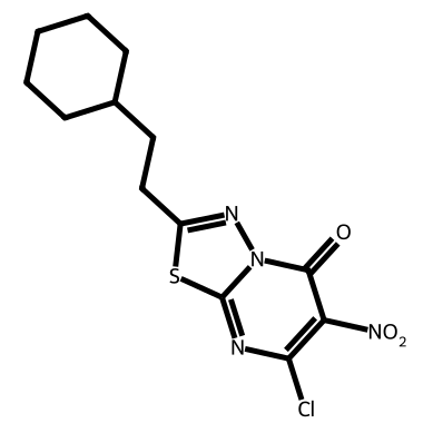 O=c1c([N+](=O)[O-])c(Cl)nc2sc(CCC3CCCCC3)nn12